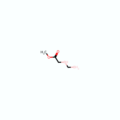 BCBCC(=O)OC